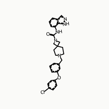 O=C(Nc1cccc2cn[nH]c12)N1CC2(CCN(Cc3cccc(Oc4ccc(Cl)cc4)c3)CC2)C1